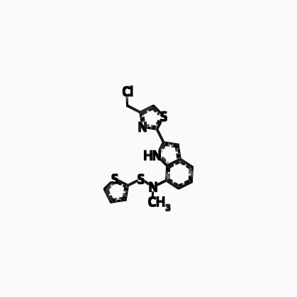 CN(Sc1cccs1)c1cccc2cc(-c3nc(CCl)cs3)[nH]c12